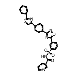 O=C(NS(=O)(=O)c1cccc(-c2nc(-c3ccc(-c4csc(-c5ccccc5)n4)cc3)no2)c1)c1cccnc1